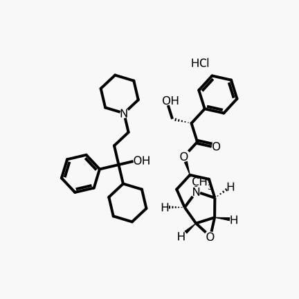 CN1[C@@H]2C[C@@H](OC(=O)[C@H](CO)c3ccccc3)C[C@H]1[C@@H]1O[C@@H]12.Cl.OC(CCN1CCCCC1)(c1ccccc1)C1CCCCC1